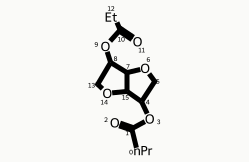 CCCC(=O)OC1COC2C(OC(=O)CC)COC12